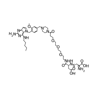 CCCCCNc1nc(N)nc2ccn(Cc3ccc(CN4CCN(C(=O)CCOCCOCCOCCNC(=O)C(CC(=O)O)NSC[C@H](N)C(=O)O)CC4)cc3OC)c12